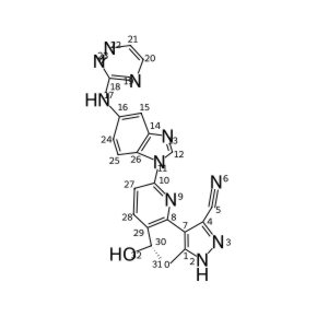 Cc1[nH]nc(C#N)c1-c1nc(-n2cnc3cc(Nc4nccnn4)ccc32)ccc1[C@H](C)O